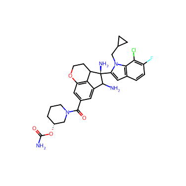 NC(=O)O[C@@H]1CCCN(C(=O)c2cc3c4c(c2)C(N)[C@@](N)(c2cc5ccc(F)c(Cl)c5n2CC2CC2)C4CCO3)C1